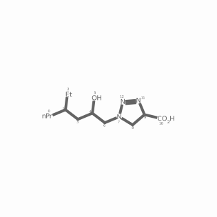 CCCC(CC)CC(O)CN1CC(C(=O)O)N=N1